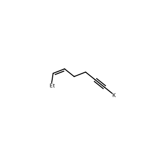 CC/C=C\CCC#[C][K]